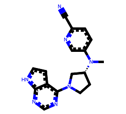 CN(c1ccc(C#N)nc1)[C@@H]1CCN(c2ncnc3[nH]ccc23)C1